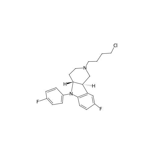 Fc1ccc(N2c3ccc(F)cc3[C@@H]3CN(CCCCCl)CC[C@H]32)cc1